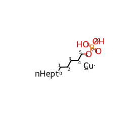 CCCCCCCCCCCCOP(=O)(O)O.[Cu]